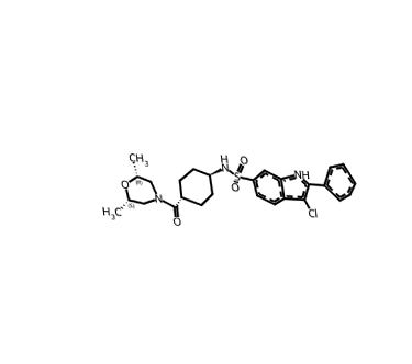 C[C@@H]1CN(C(=O)[C@H]2CC[C@H](NS(=O)(=O)c3ccc4c(Cl)c(-c5ccccc5)[nH]c4c3)CC2)C[C@H](C)O1